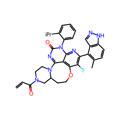 C=CC(=O)N1CCN2c3nc(=O)n(-c4ccccc4C(C)C)c4nc(-c5c(C)ccc6[nH]ncc56)c(F)c(c34)OCCC2C1